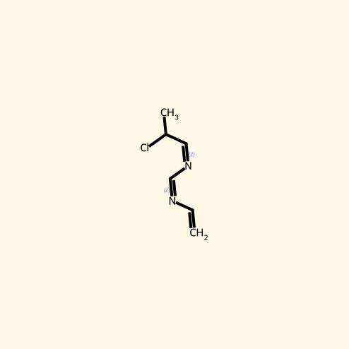 C=C/N=C\N=C/C(C)Cl